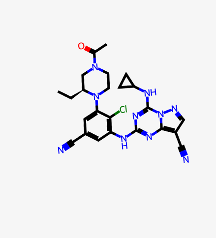 CC[C@H]1CN(C(C)=O)CCN1c1cc(C#N)cc(Nc2nc(NC3CC3)n3ncc(C#N)c3n2)c1Cl